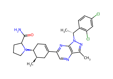 Cc1nn([C@H](C)c2ccc(Cl)cc2Cl)c2nc(C3=CC[C@H](N4CCCC4C(N)=O)[C@H](C)C3)cnc12